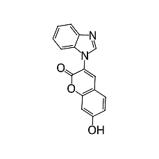 O=c1oc2cc(O)ccc2cc1-n1cnc2ccccc21